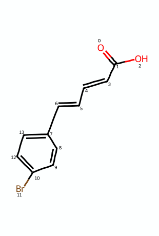 O=C(O)C=CC=Cc1ccc(Br)cc1